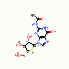 CC(C)C(=O)Nc1nc2c(ncn2C2S[C@H](CO)[C@@H](O)[C@H]2O)c(=O)[nH]1